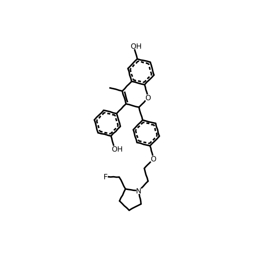 CC1=C(c2cccc(O)c2)C(c2ccc(OCCN3CCCC3CF)cc2)Oc2ccc(O)cc21